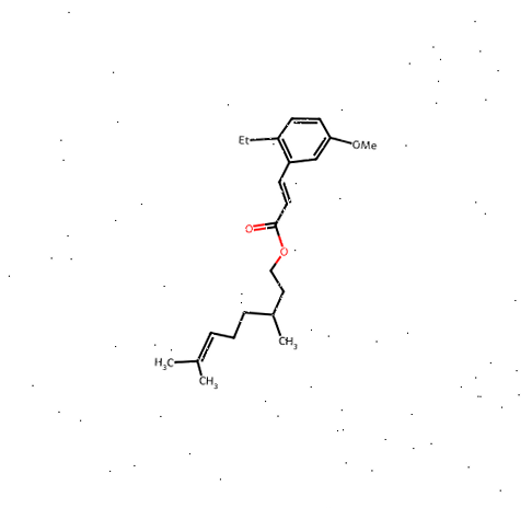 CCc1ccc(OC)cc1/C=C/C(=O)OCCC(C)CCC=C(C)C